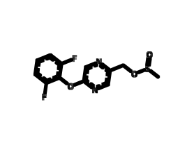 CS(=O)OCc1cnc(Oc2c(F)cccc2F)cn1